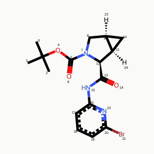 CC(C)(C)OC(=O)N1C[C@H]2C[C@H]2[C@H]1C(=O)Nc1cccc(Br)n1